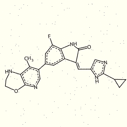 Cc1c(-c2cc(F)c3c(c2)C(=Cc2cnc(C4CC4)[nH]2)C(=O)N3)cnc2c1NCCO2